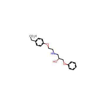 O=C(O)Cc1ccc(OCCNC[C@H](O)COc2ccccc2)cc1